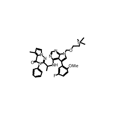 COc1ccc(F)cc1-c1cn(COCC[Si](C)(C)C)c2ncnc(NC(C)c3nn4ccc(C)c4c(=O)n3-c3ccccc3)c12